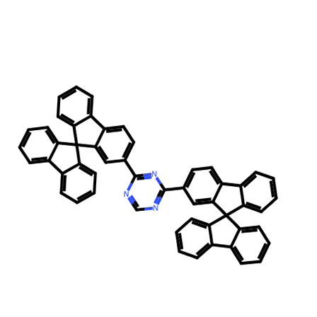 c1ccc2c(c1)-c1ccccc1C21c2ccccc2-c2ccc(-c3ncnc(-c4ccc5c(c4)C4(c6ccccc6-c6ccccc64)c4ccccc4-5)n3)cc21